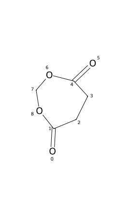 O=C1CCC(=O)OCO1